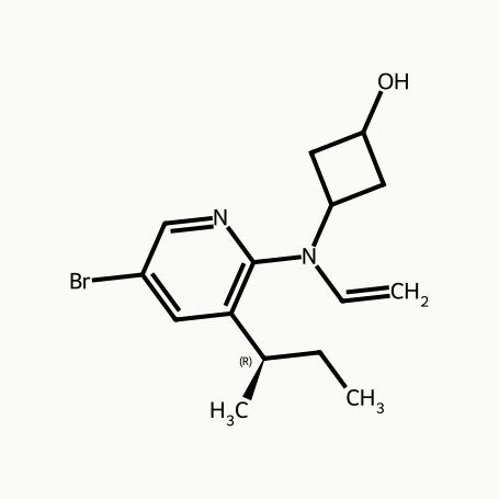 C=CN(c1ncc(Br)cc1[C@H](C)CC)C1CC(O)C1